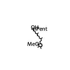 CCCCCC(C)(O)CCC/C(C)=C/CCC(C)CCC1=CC=C(C)C(C)C1OC